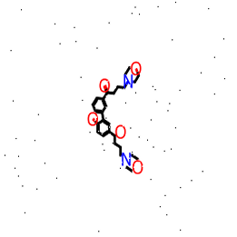 O=C(CCCN1CCOCC1)c1ccc2oc3ccc(C(=O)CCCN4CCOCC4)cc3c2c1